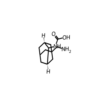 NCC12CC3C[C@H](C1)C(NC(=O)O)[C@@H](C3)C2